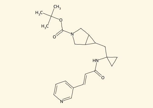 CC(C)(C)OC(=O)N1CC2C(C1)C2CC1(NC(=O)/C=C/c2cccnc2)CC1